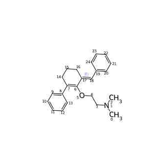 CN(C)CCOC1=C(c2ccccc2)CCC/C1=C\c1ccccc1